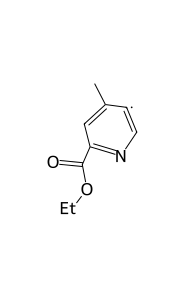 CCOC(=O)c1cc(C)[c]cn1